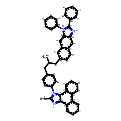 CC(Cc1ccc(-n2c(C(C)C)nc3c4ccccc4c4ccccc4c32)cc1)Cc1ccc2cc3nc(-c4ccccc4)n(-c4ccccc4)c3cc2c1